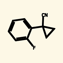 N#CC1(c2ccccc2F)CC1